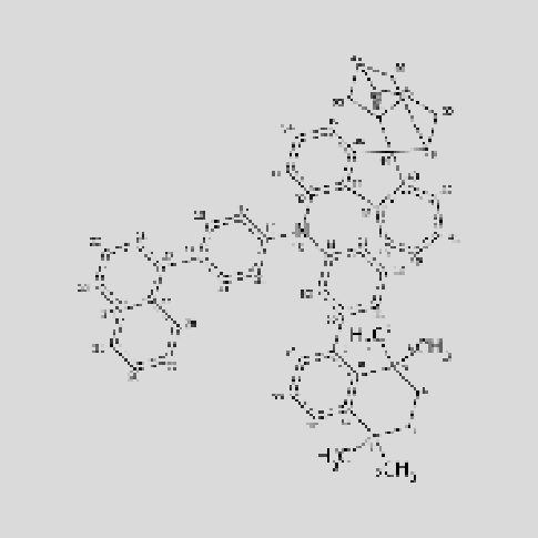 CC1(C)CCC(C)(C)c2c(-c3cccc(N(c4ccc(-c5cccc6ccccc56)cc4)c4cccc5c4-c4ccccc4C54C5CC6CC(C5)C4C6)c3)cccc21